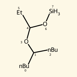 CCCCC(CCCC)OC(CC)O[SiH3]